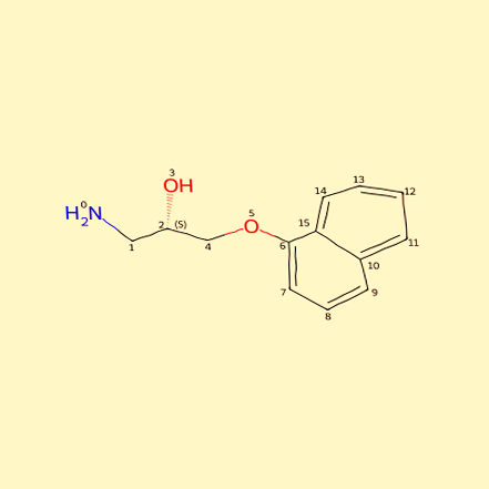 NC[C@H](O)COc1cccc2ccccc12